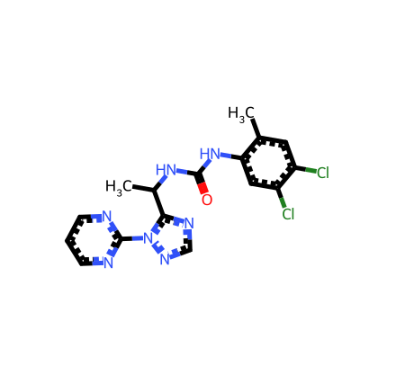 Cc1cc(Cl)c(Cl)cc1NC(=O)NC(C)c1ncnn1-c1ncccn1